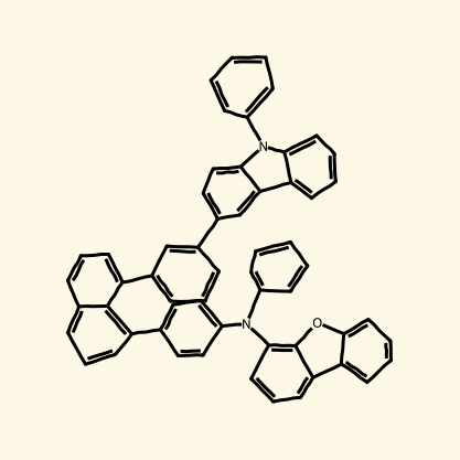 c1ccc(N(c2ccc(-c3cccc4cccc(-c5cccc(-c6ccc7c(c6)c6ccccc6n7-c6ccccc6)c5)c34)cc2)c2cccc3c2oc2ccccc23)cc1